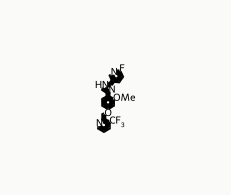 COc1cc(OCc2ncccc2C(F)(F)F)ccc1-c1c[nH]c(-c2ccc(F)nc2)n1